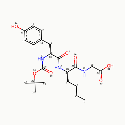 CCCC[C@@H](NC(=O)[C@H](Cc1ccc(O)cc1)NC(=O)OC(C)(C)C)C(=O)NCC(=O)O